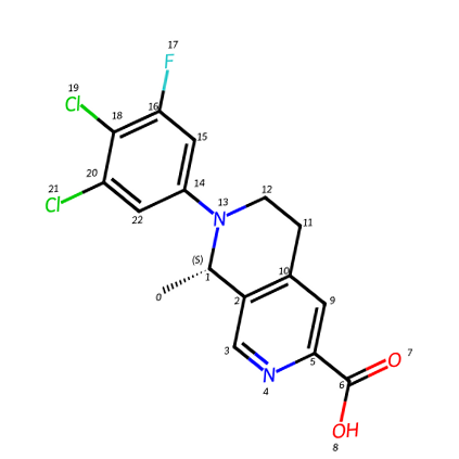 C[C@H]1c2cnc(C(=O)O)cc2CCN1c1cc(F)c(Cl)c(Cl)c1